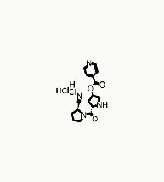 Cl.Cl.N#C[C@@H]1CCCN1C(=O)[C@@H]1C[C@H](OC(=O)c2ccncc2)CN1